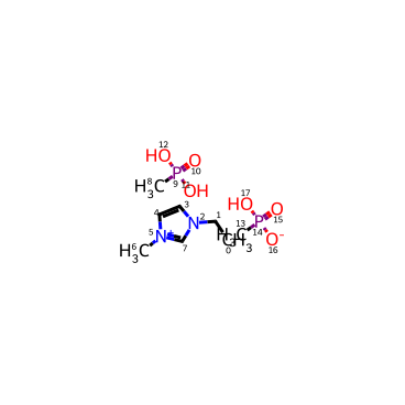 CCn1cc[n+](C)c1.CP(=O)(O)O.CP(=O)([O-])O